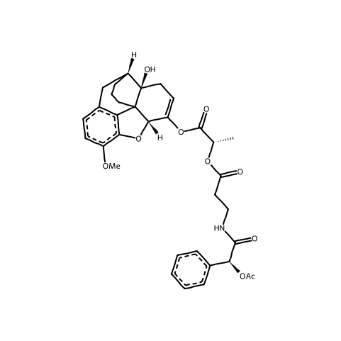 COc1ccc2c3c1O[C@H]1C(OC(=O)[C@H](C)OC(=O)CCNC(=O)[C@@H](OC(C)=O)c4ccccc4)=CC[C@@]4(O)[C@H](CCCC314)C2